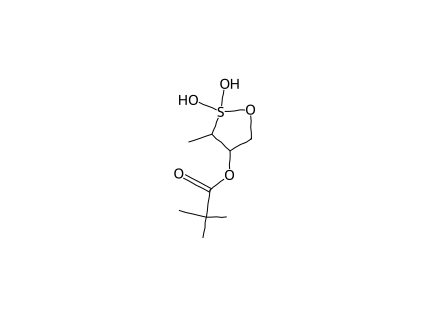 CC1C(OC(=O)C(C)(C)C)COS1(O)O